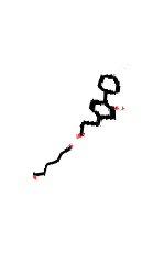 CCOc1cc(/C=C/C(=O)OCCCCCCO)ccc1-c1ccc(OC)cc1